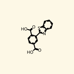 O=C(O)c1ccc(C(=O)O)c(-c2nc3ccccc3s2)c1